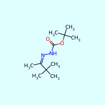 CC(=NNC(=O)OC(C)(C)C)C(C)(C)C